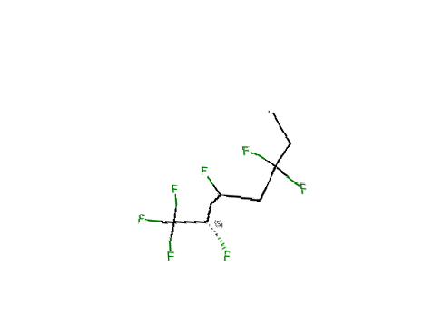 [CH2]CC(F)(F)CC(F)[C@H](F)C(F)(F)F